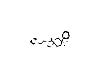 CN(C)[C@]1(c2ccccc2)CC[C@@]2(CC1)NCN(CCn1ccnc1)C2=O